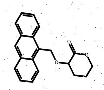 O=C1OCCCC1OCc1c2ccccc2cc2ccccc12